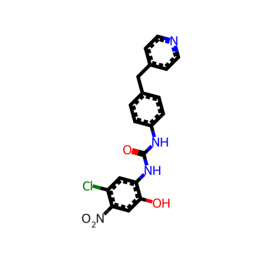 O=C(Nc1ccc(Cc2ccncc2)cc1)Nc1cc(Cl)c([N+](=O)[O-])cc1O